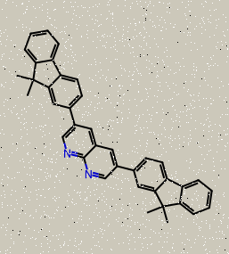 CC1(C)c2ccccc2-c2ccc(-c3cnc4ncc(-c5ccc6c(c5)C(C)(C)c5ccccc5-6)cc4c3)cc21